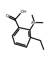 CCc1cccc(C(=O)O)c1[As](C)C